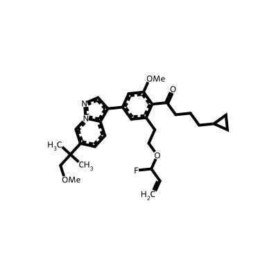 C=CC(F)OCCc1cc(-c2cnn3cc(C(C)(C)COC)ccc23)cc(OC)c1C(=O)CCCC1CC1